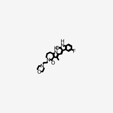 Cc1c(C=C2C(=O)Nc3ccc(F)cc32)[nH]c2c1C(=O)N(CCN1CCOCC1)CCC2